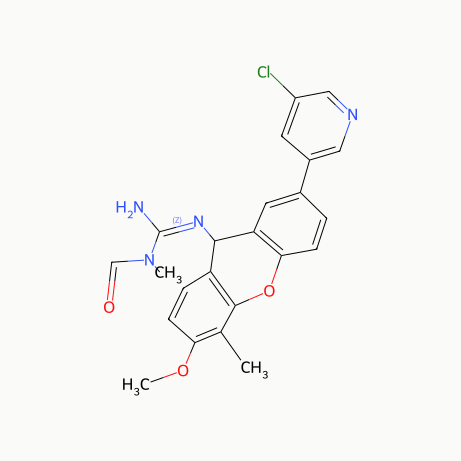 COc1ccc2c(c1C)Oc1ccc(-c3cncc(Cl)c3)cc1C2/N=C(/N)N(C)C=O